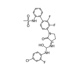 CS(=O)(=O)Nc1ccccc1-c1ccc(N2CC[C@@H](NC(O)Nc3ccc(Cl)cc3F)C2=O)c(F)c1F